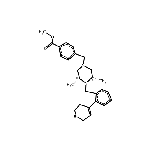 COC(=O)c1ccc(CN2C[C@@H](C)N(Cc3ccccc3C3=CCNCC3)[C@@H](C)C2)cc1